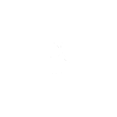 CS(=O)(=O)NC1=C(C(=O)c2ccc(S(C)(=O)=O)cc2[N+](=O)[O-])C(=O)CCC1